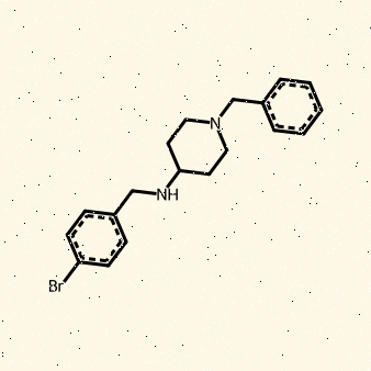 Brc1ccc(CNC2CCN(Cc3ccccc3)CC2)cc1